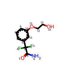 NC(=O)C(F)(F)c1cccc(OCCO)c1